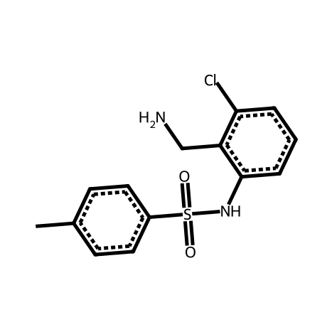 Cc1ccc(S(=O)(=O)Nc2cccc(Cl)c2CN)cc1